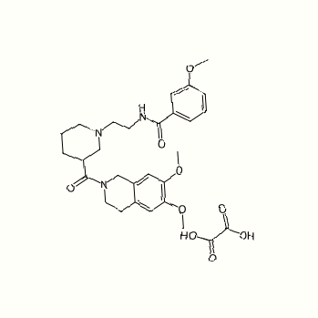 COc1cccc(C(=O)NCCN2CCCC(C(=O)N3CCc4cc(OC)c(OC)cc4C3)C2)c1.O=C(O)C(=O)O